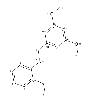 CCc1ccccc1NCc1cc(OC)cc(OC)c1